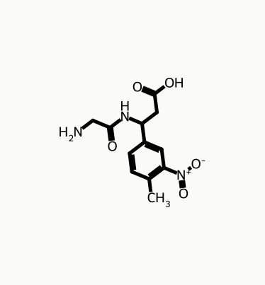 Cc1ccc(C(CC(=O)O)NC(=O)CN)cc1[N+](=O)[O-]